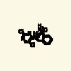 NS(=O)(=O)c1ccccc1C[AsH]c1nc(Cl)ncc1Cl